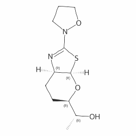 C[C@@H](O)[C@H]1CC[C@H]2N=C(N3CCCO3)S[C@H]2O1